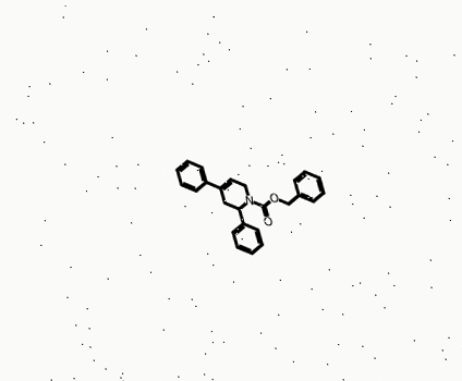 O=C(OCc1ccccc1)N1CC=C(c2ccccc2)CC1c1ccccc1